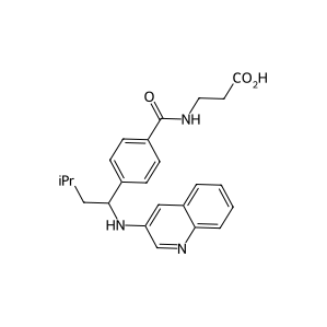 CC(C)CC(Nc1cnc2ccccc2c1)c1ccc(C(=O)NCCC(=O)O)cc1